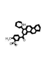 Cc1ccc(C(=O)C2C=c3c(ccc4c3=CCc3ccccc3-4)C(C3=CC=CC=CN3)C2)cc1[N+](=O)[O-]